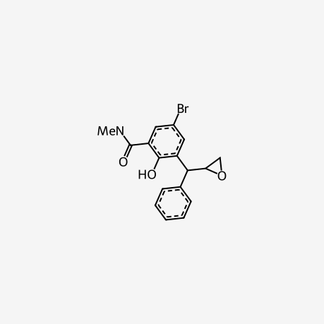 CNC(=O)c1cc(Br)cc(C(c2ccccc2)C2CO2)c1O